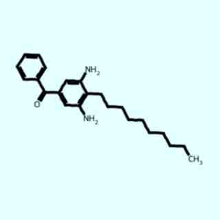 CCCCCCCCCCc1c(N)cc(C(=O)c2ccccc2)cc1N